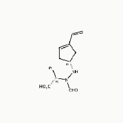 C=CC1=CC[C@@H](NN(C=O)[C@H](C(=O)O)C(C)C)C1